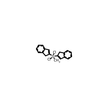 [CH3][Zr]([Cl])([Cl])([C]1=Cc2ccccc2C1)[C]1=Cc2ccccc2C1